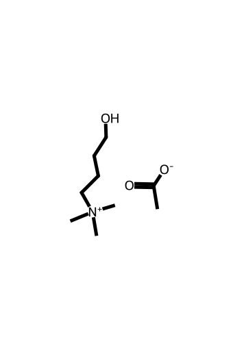 CC(=O)[O-].C[N+](C)(C)CCCCO